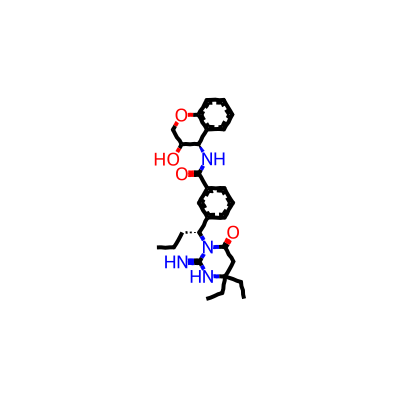 CCC[C@H](c1cccc(C(=O)N[C@@H]2c3ccccc3OCC2O)c1)N1C(=N)NC(CC)(CC)CC1=O